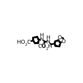 O=C(NCc1ccc2c(c1)OCO2)Nc1ccc(C(=O)O)cc1C(=O)O